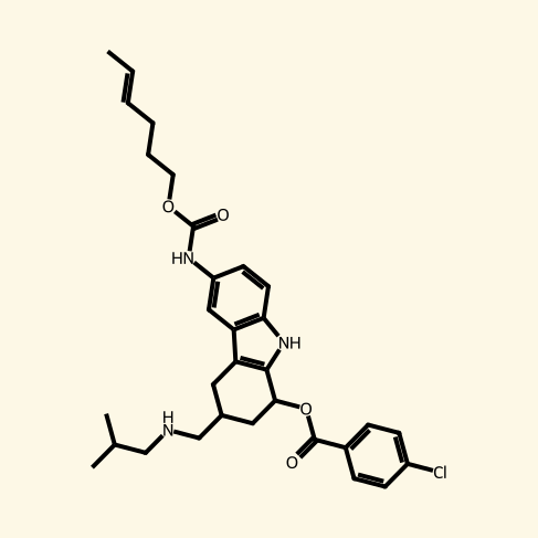 CC=CCCCOC(=O)Nc1ccc2[nH]c3c(c2c1)CC(CNCC(C)C)CC3OC(=O)c1ccc(Cl)cc1